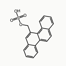 O=S(=O)(O)OCc1cc2ccccc2c2ccc3ccccc3c12